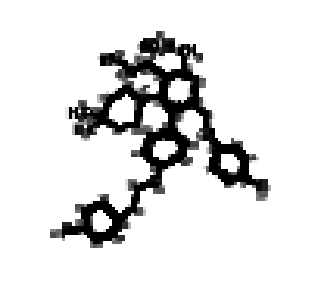 Cc1nc(COc2ccc(Cl)cc2)c(-c2ccc(OCCc3ccc(F)cc3)cc2)c(N2CCC(C)(C)CC2)c1[C@H](OC(C)(C)C)C(=O)O